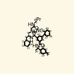 CC(C)CNC(=O)CNC[C@H](CC1C=CC=CC1)NC(=O)c1cc(C(=O)NC(C)c2ccc(F)cc2)cc(-c2ccccc2C#N)c1